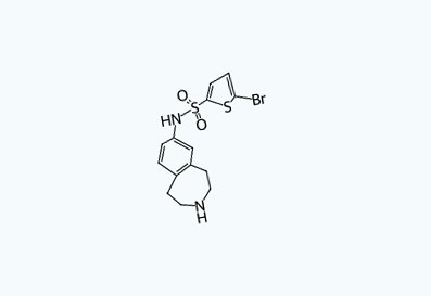 O=S(=O)(Nc1ccc2c(c1)CCNCC2)c1ccc(Br)s1